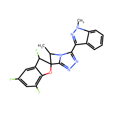 CC1n2c(-c3nn(C)c4ccccc34)nnc2C12Oc1c(F)cc(F)cc1C2F